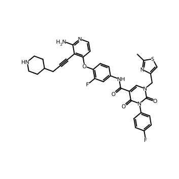 Cc1nc(Cn2cc(C(=O)Nc3ccc(Oc4ccnc(N)c4C#CCC4CCNCC4)c(F)c3)c(=O)n(-c3ccc(F)cc3)c2=O)cs1